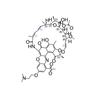 CO[C@H]1/C=C/O[C@@]2(C)Oc3c(C)c(O)c4c(=O)c(c5oc6cc(OCCN(C)C)cc(S(C)(=O)=O)c6nc-5c4c3C2=O)NC(=O)/C(C)=C\C=C\[C@H](C)[C@@H]2O[C@H]([C@H](O)[C@@H]2C)[C@H](OC(C)=O)[C@@H]1C